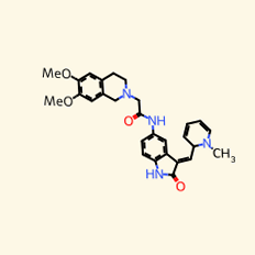 COc1cc2c(cc1OC)CN(CC(=O)Nc1ccc3c(c1)/C(=C\C1C=CC=CN1C)C(=O)N3)CC2